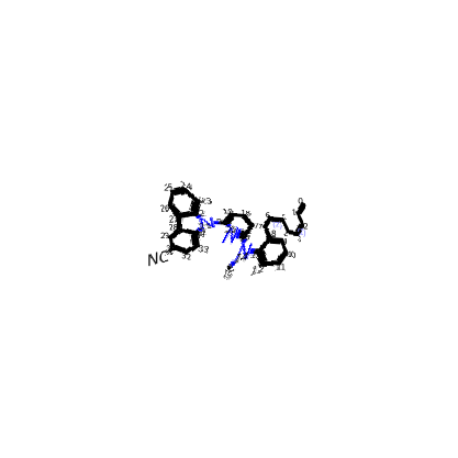 C=C/C=C\C/C=C\Cc1ccccc1N(C)c1cccc(-n2c3ccccc3c3cc(C#N)ccc32)n1